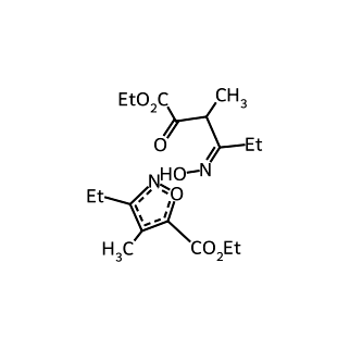 CCOC(=O)C(=O)C(C)/C(CC)=N\O.CCOC(=O)c1onc(CC)c1C